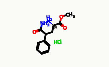 COC(=O)[C@@H](N)CC(C(N)=O)c1ccccc1.Cl